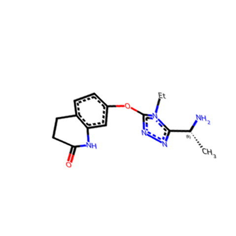 CCn1c(Oc2ccc3c(c2)NC(=O)CC3)nnc1[C@@H](C)N